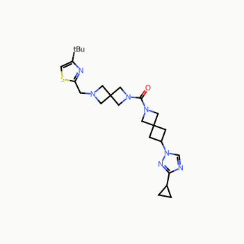 CC(C)(C)c1csc(CN2CC3(C2)CN(C(=O)N2CC4(CC(n5cnc(C6CC6)n5)C4)C2)C3)n1